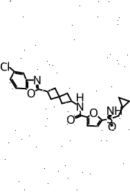 N=S(=O)(CC1CC1)c1ccc(C(=O)NC2CC3(C2)CC(c2nc4cc(Cl)ccc4o2)C3)o1